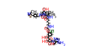 Cc1ncsc1-c1ccc(CNC(=O)[C@H]2C[C@H](O)CN2C(=O)[C@H](NC(=O)CCCCNC(=O)COc2cc([C@@H](O)[C@H]3O[C@@H](n4ccc5c(N)ncnc54)[C@H](O)[C@@H]3O)ccc2Cl)C(C)(C)C)cc1